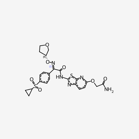 NC(=O)COc1ccc2nc(NC(=O)/C(=N/O[C@@H]3CCOC3)c3ccc(S(=O)(=O)C4CC4)cc3)sc2n1